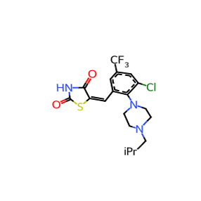 CC(C)CN1CCN(c2c(Cl)cc(C(F)(F)F)cc2/C=C2/SC(=O)NC2=O)CC1